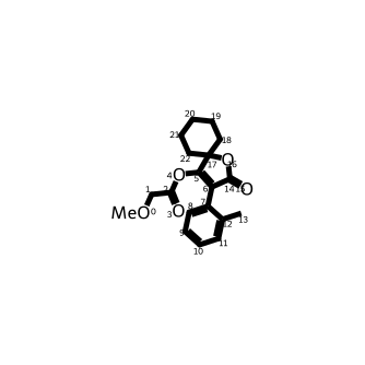 COCC(=O)OC1=C(c2ccccc2C)C(=O)OC12CCCCC2